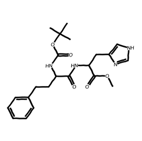 COC(=O)C(Cc1c[nH]cn1)NC(=O)C(CCc1ccccc1)NC(=O)OC(C)(C)C